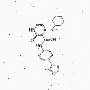 N=C(Nc1ccc(-c2ccon2)cc1)c1c(NC2CCCCC2)cc[nH]c1=O